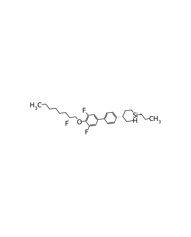 CCCCCC[C@@H](F)COc1c(F)cc(-c2ccc([C@H]3CC[Si@H](CCC)CC3)cc2)cc1F